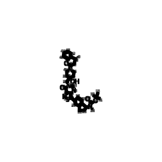 C[C@H](CC(=O)N1CCC(O)(Cn2cnc3c(-c4ccc5c(c4)CCC5N(C)C(=O)OC(C)(C)C)snc3c2=O)CC1)c1ccccc1